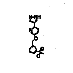 CS(=O)(=O)c1cccc(COc2ccc(-c3cn[nH]c3)nc2)c1